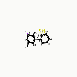 Cc1cc(I)c(C)c(-c2ccccc2S)c1